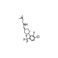 CN(C)CCNC=C1CCC(c2c(C(F)(F)F)ccc(Cl)c2F)CC1